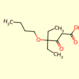 CCCCOC(CC)(CC)C(=O)CC(=O)O